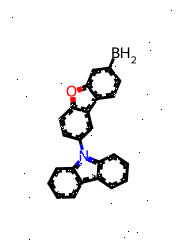 Bc1ccc2c(c1)oc1ccc(-n3c4ccccc4c4ccccc43)cc12